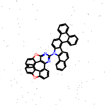 c1ccc2c(c1)ccc1c3c4c5ccccc5c5ccccc5c4ccc3n(-c3nc(-c4cccc5oc6ccccc6c45)c4c(n3)oc3ccccc34)c21